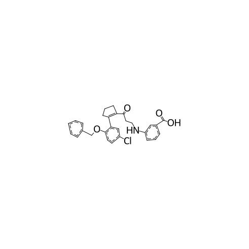 O=C(CCNc1cccc(C(=O)O)c1)C1=C(c2cc(Cl)ccc2OCc2ccccc2)CCC1